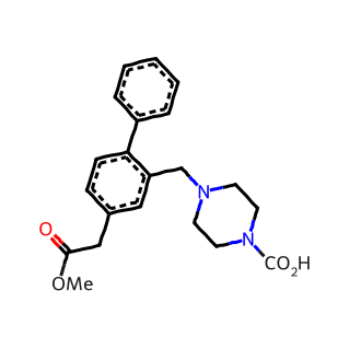 COC(=O)Cc1ccc(-c2ccccc2)c(CN2CCN(C(=O)O)CC2)c1